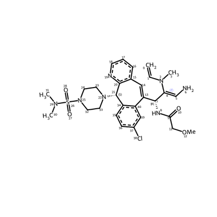 C=CN(C)/C(=C\N)[C@H](NC(=O)COC)C1=Cc2cccnc2[C@@H](N2CCN(S(=O)(=O)N(C)C)CC2)c2ccc(Cl)cc21